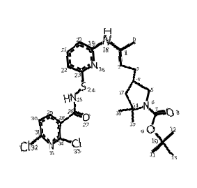 CC(CCC1CN(C(=O)OC(C)(C)C)C(C)(C)C1)Nc1cccc(SNC(=O)c2ccc(Cl)nc2Cl)n1